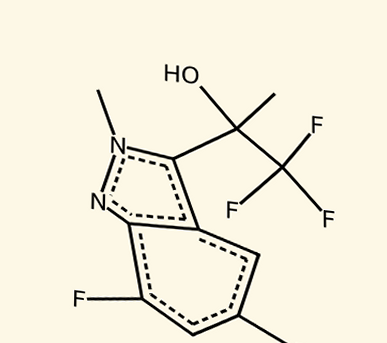 Cn1nc2c(F)cc(Br)cc2c1C(C)(O)C(F)(F)F